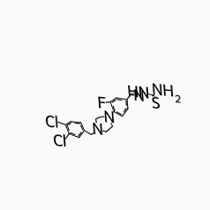 NC(=S)NN=Cc1ccc(N2CCN(Cc3ccc(Cl)c(Cl)c3)CC2)c(F)c1